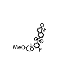 COC1CCOC(C)(c2cc(F)cc(S(=O)(=O)c3ccc4c(ccc(=O)n4C)c3)c2)C1